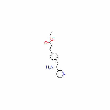 CCOC(=O)/C=C/c1ccc(CC(N)c2cccnc2)cc1